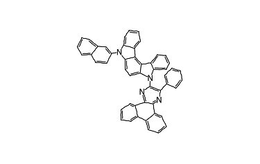 c1ccc(-c2nc3c4ccccc4c4ccccc4c3nc2-n2c3ccccc3c3c4c5ccccc5n(-c5ccc6ccccc6c5)c4ccc32)cc1